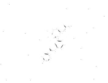 C[C@]1(c2cc(NC(=O)c3cnc(Cl)cn3)ccc2F)OC(NC(=O)O)=NCC1(F)F